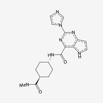 CNC(=O)[C@H]1CC[C@H](NC(=O)c2nc(-n3ccnc3)nc3cc[nH]c23)CC1